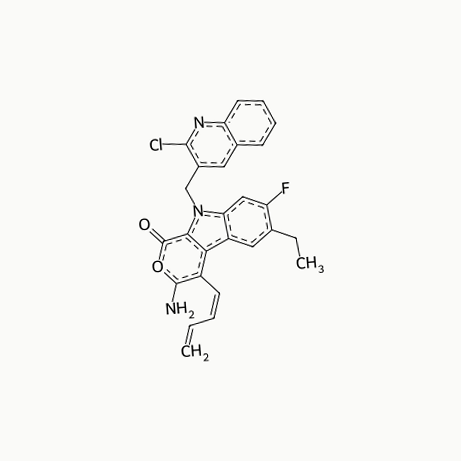 C=C/C=C\c1c(N)oc(=O)c2c1c1cc(CC)c(F)cc1n2Cc1cc2ccccc2nc1Cl